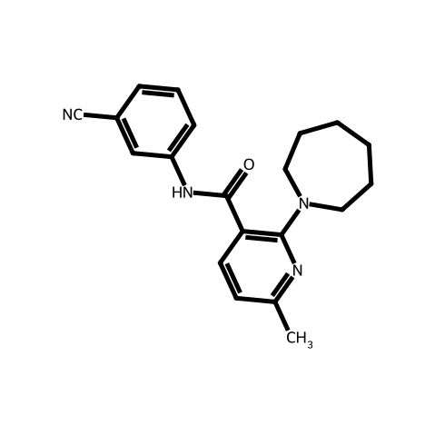 Cc1ccc(C(=O)Nc2cccc(C#N)c2)c(N2CCCCCC2)n1